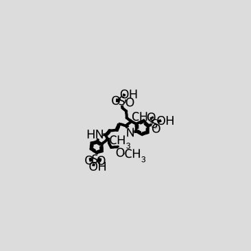 COCCC1(C)/C(=C\C=C\C2=Nc3ccc(S(=O)(=O)O)cc3C2(C)CCCS(=O)(=O)O)Nc2ccc(S(=O)(=O)O)cc21